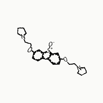 [O-][s+]1c2cc(OCCN3CCCC3)ccc2c2ccc(OCCN3CCCC3)cc21